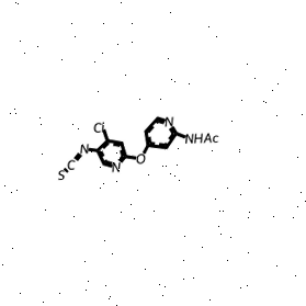 CC(=O)Nc1cc(Oc2cc(Cl)c(N=C=S)cn2)ccn1